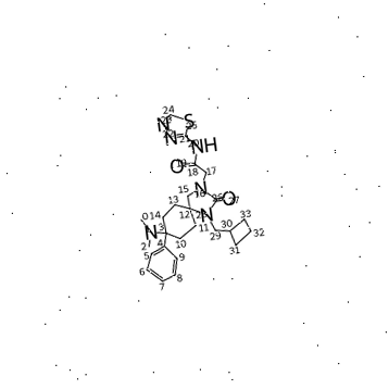 CN(C)C1(c2ccccc2)CCC2(CC1)CN(CC(=O)Nc1nncs1)C(=O)N2CC1CCC1